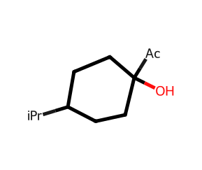 CC(=O)C1(O)CCC(C(C)C)CC1